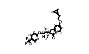 C[C@@](Cc1cc(OCCC2CC2)ccn1)(C(=O)O)[C@@H](N)COc1ccc(C(F)(F)F)cn1